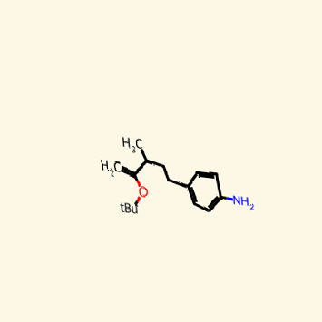 C=C(OC(C)(C)C)C(C)CCc1ccc(N)cc1